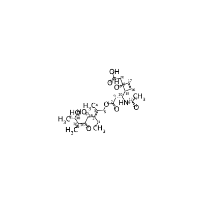 CC/C(=C(/C)COC(=O)C[C@@H](NC(C)=O)C1C=CC1(O)CC(=O)O)[C@@H](O)C(=O)C(C)[C@H](C)O